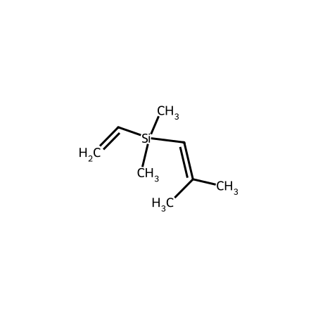 C=C[Si](C)(C)C=C(C)C